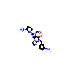 CCn1c(N2CCC[C@@H](N)C2)nc2c1C(=O)N(Cc1cccc(N)c1)C1=NCCN12